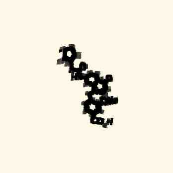 COc1cc(C(=O)O)ccc1Cn1ccc(=O)c2ccc(NC(=O)CC3CCCC3)cc21